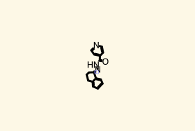 O=C(N/N=C1\CCCc2ccccc21)c1ccncc1